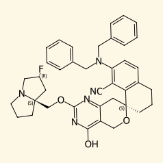 N#Cc1c(N(Cc2ccccc2)Cc2ccccc2)ccc2c1[C@]1(CCC2)Cc2nc(OC[C@@]34CCCN3C[C@H](F)C4)nc(O)c2CO1